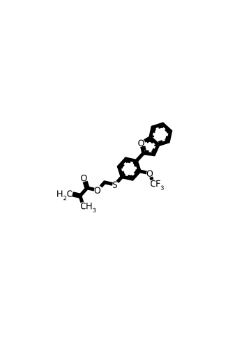 C=C(C)C(=O)OCSc1ccc(-c2cc3ccccc3o2)c(OC(F)(F)F)c1